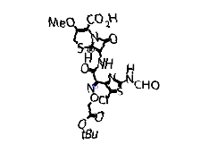 COC1=C(C(=O)O)N2C(=O)C(NC(=O)/C(=N/OCC(=O)OC(C)(C)C)c3nc(NC=O)sc3Cl)[C@H]2SC1